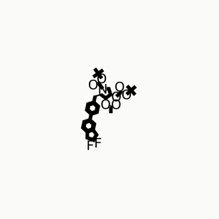 CC(=O)O[C@@H]1[C@@H](OC(=O)OC(C)(C)C)CN(C(=O)OC(C)(C)C)[C@@H]1Cc1ccc(-c2ccc3c(c2)CC(F)(F)C3)cc1